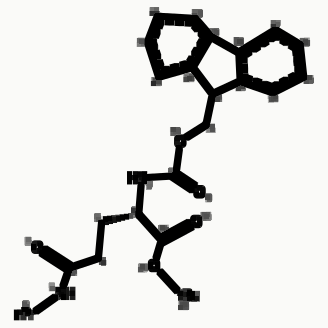 CCCNC(=O)CC[C@H](NC(=O)OCC1c2ccccc2-c2ccccc21)C(=O)OC(C)(C)C